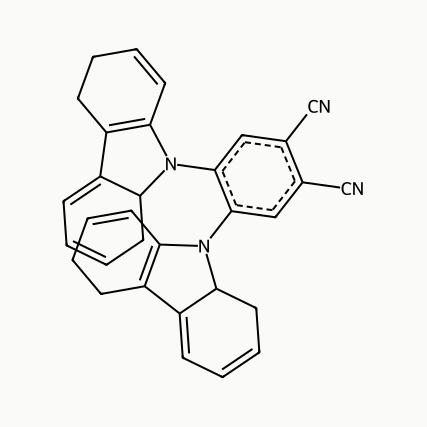 N#Cc1cc(N2C3=C(CCC=C3)C3=CC=CCC32)c(N2C3=C(CCC=C3)C3=CC=CCC32)cc1C#N